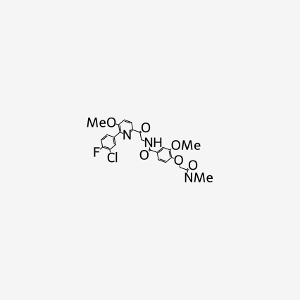 CNC(=O)COc1ccc(C(=O)NCC(=O)c2ccc(OC)c(-c3ccc(F)c(Cl)c3)n2)cc1OC